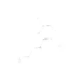 C=CCOC(=O)c1cc(C=O)ccc1O